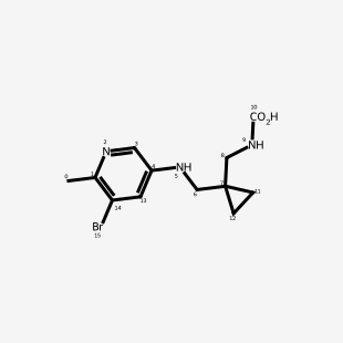 Cc1ncc(NCC2(CNC(=O)O)CC2)cc1Br